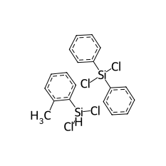 Cc1ccccc1[SiH](Cl)Cl.Cl[Si](Cl)(c1ccccc1)c1ccccc1